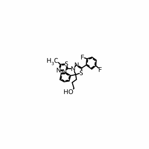 Cc1nnc(N2N=C(c3cc(F)ccc3F)SC2(CCCO)c2ccccc2)s1